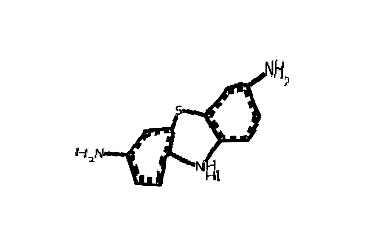 I.Nc1ccc2c(c1)Sc1cc(N)ccc1N2